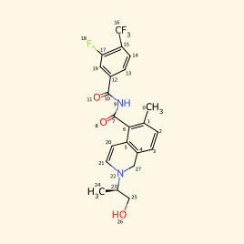 Cc1ccc2c(c1C(=O)NC(=O)c1ccc(C(F)(F)F)c(F)c1)C=CN([C@H](C)CO)C2